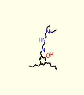 CCCCc1cc(/C=N/CCNCCN(CC)CC)c(O)c(CCCC)c1